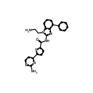 NCCn1c(NC(=O)c2ccc(-c3ccnc(N)n3)s2)nc2c(-c3ccccc3)cccc21